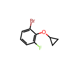 Fc1cccc(Br)c1OC1CC1